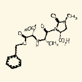 CCCCCCCC[C@H](N[C@@H](C)C(=O)N1C(=O)N(C)C[C@H]1C(=O)O)C(=O)OCc1ccccc1